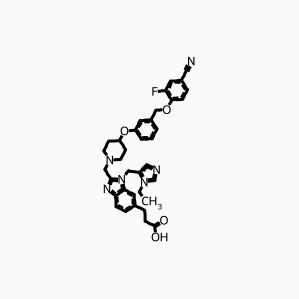 CCn1cncc1Cn1c(CN2CCC(Oc3cccc(COc4ccc(C#N)cc4F)c3)CC2)nc2ccc(CCC(=O)O)cc21